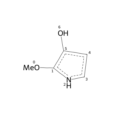 COc1[nH]ccc1O